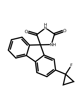 O=C1NC(=O)C2(N1)c1ccccc1-c1ccc(C3(F)CC3)cc12